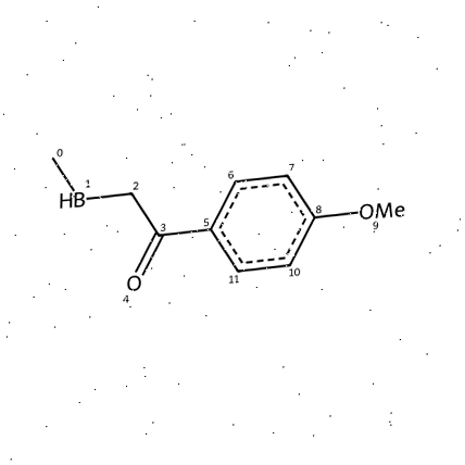 CBCC(=O)c1ccc(OC)cc1